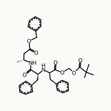 C[C@H](CC(=O)OCc1ccccc1)NC(=O)[C@H](Cc1ccccc1)NC(Cc1ccccc1)C(=O)OCOC(=O)C(C)(C)C